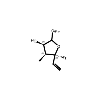 C=C[C@]1(CC)OC(OC)[C@H](O)[C@@H]1C